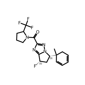 CC1([C@@H]2C[C@H](F)c3nc(C(=O)N4CCCC4C(F)(F)F)nn32)C=CC=CC1